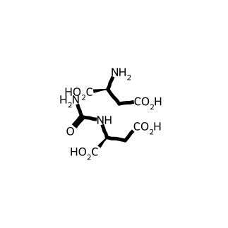 NC(=O)N[C@@H](CC(=O)O)C(=O)O.N[C@@H](CC(=O)O)C(=O)O